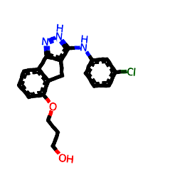 OCCCOc1cccc2c1Cc1c-2n[nH]c1Nc1cccc(Cl)c1